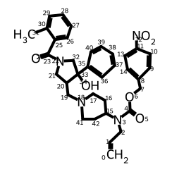 C=CCN(C(=O)OCc1ccc([N+](=O)[O-])cc1)C1CCN(CC2CN(C(=O)c3ccccc3C)CC2(O)c2ccccc2)CC1